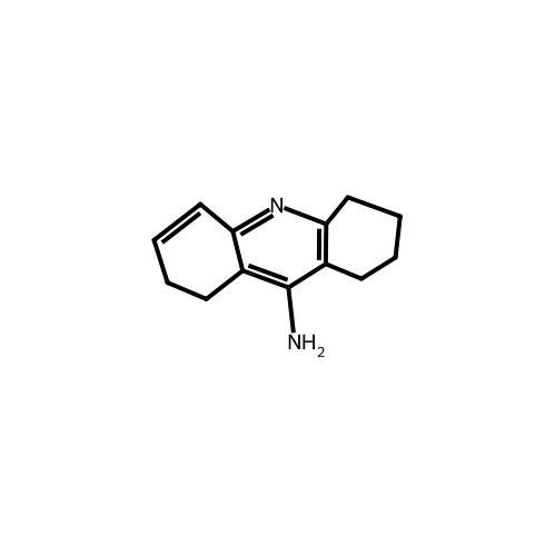 Nc1c2c(nc3c1CCCC3)C=CCC2